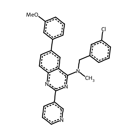 COc1cccc(-c2ccc3nc(-c4cccnc4)nc(N(C)Cc4cccc(Cl)c4)c3c2)c1